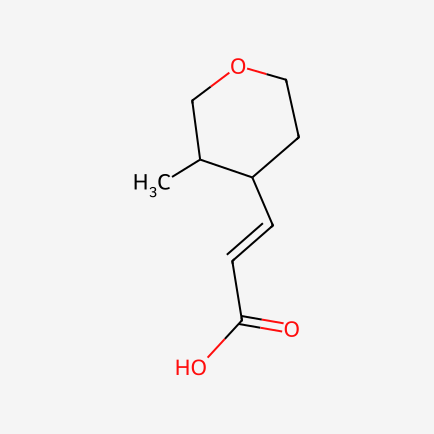 CC1COCCC1/C=C/C(=O)O